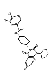 O=C(N[C@H]1CC[C@@H](n2c(=O)c3cc(F)cnc3n(C3CCSCC3)c2=O)CC1)c1ccc(Cl)c(Cl)c1